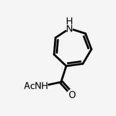 CC(=O)NC(=O)C1=CC=CNC=C1